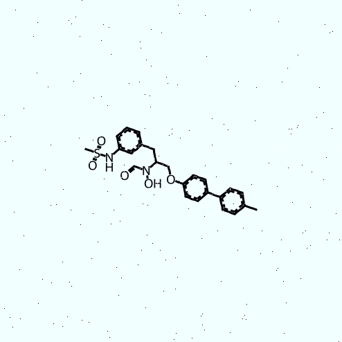 Cc1ccc(-c2ccc(OCC(Cc3cccc(NS(C)(=O)=O)c3)N(O)C=O)cc2)cc1